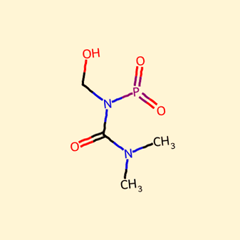 CN(C)C(=O)N(CO)P(=O)=O